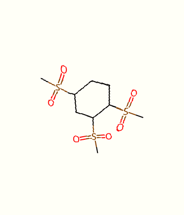 CS(=O)(=O)C1CCC(S(C)(=O)=O)C(S(C)(=O)=O)C1